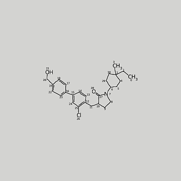 CCC1(C)CCC(N2CCC(Cc3ccc(-c4ccc(CO)cc4)cc3Cl)C2=O)CC1